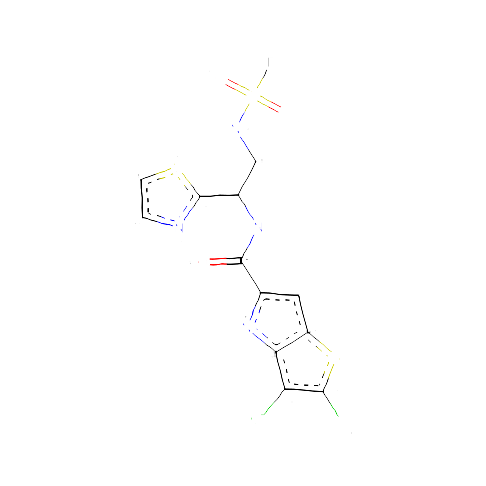 CCS(=O)(=O)NCC(NC(=O)c1cc2sc(Cl)c(Cl)c2[nH]1)c1nccs1